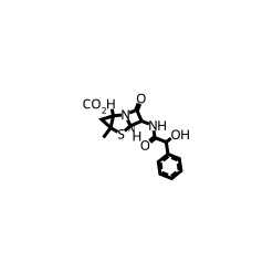 CC12CC1(C(=O)O)N1C(=O)C(NC(=O)C(O)c3ccccc3)[C@H]1S2